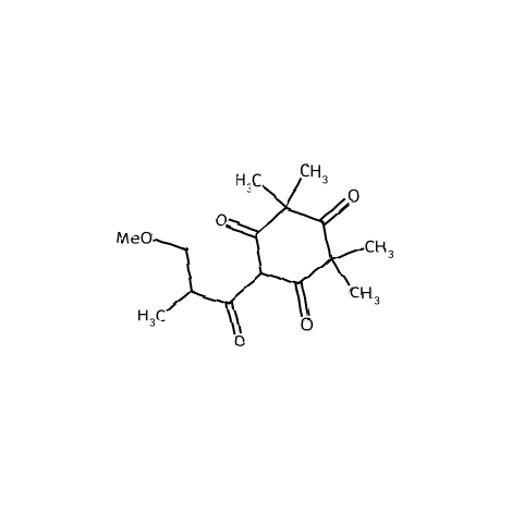 COCC(C)C(=O)C1C(=O)C(C)(C)C(=O)C(C)(C)C1=O